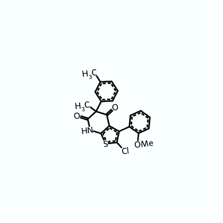 COc1ccccc1-c1c(Cl)sc2c1C(=O)C(C)(c1cccc(C)c1)C(=O)N2